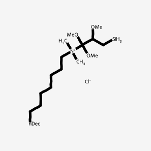 CCCCCCCCCCCCCCCCC[N+](C)(C)C(OC)(OC)C(C[SiH3])OC.[Cl-]